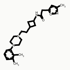 Cc1cc(CC(=O)NC2CC(CCN3CCN(c4cccc(C)c4C)CC3)C2)on1